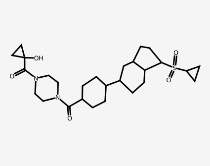 O=C(C1CCC(C2CCC3C(CCC3S(=O)(=O)C3CC3)C2)CC1)N1CCN(C(=O)C2(O)CC2)CC1